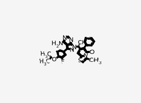 Cc1csc2cc([C@H](C)n3nc(-c4ccc(OC(C)C)c(F)c4)c4c(N)ncnc43)c(-c3ccccc3)c(=O)n12